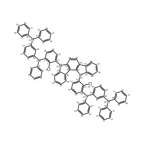 Clc1c(N(c2ccccc2)c2cccc(N(c3ccccc3)c3ccccc3)c2)cccc1-n1c2ccccc2c2c1ccc1c3ccccc3n(-c3cccc(N(c4ccccc4)c4cccc(N(c5ccccc5)c5ccccc5)c4)c3Cl)c12